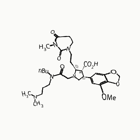 CCCCN(CCCN(C)C)C(=O)CN1C[C@H](c2cc(OC)c3c(c2)OCO3)[C@@H](C(=O)O)[C@@H]1CCN1CCC(=O)N(C)C1=O